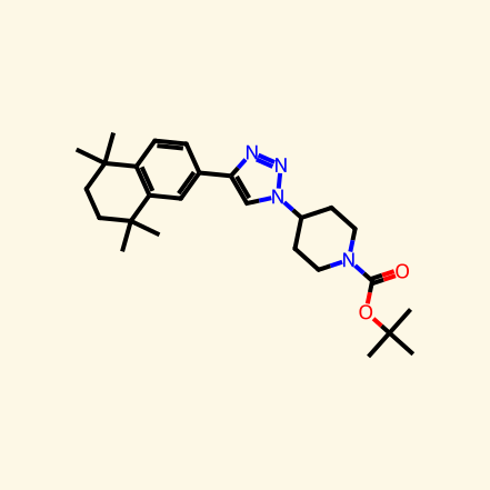 CC(C)(C)OC(=O)N1CCC(n2cc(-c3ccc4c(c3)C(C)(C)CCC4(C)C)nn2)CC1